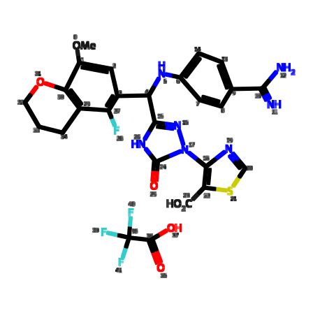 COc1cc(C(Nc2ccc(C(=N)N)cc2)c2nn(-c3ncsc3C(=O)O)c(=O)[nH]2)c(F)c2c1OCCC2.O=C(O)C(F)(F)F